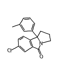 Cc1cccc(C23CCCN2C(=O)c2cc(Cl)ccc23)c1